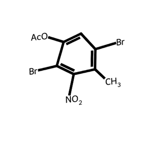 CC(=O)Oc1cc(Br)c(C)c([N+](=O)[O-])c1Br